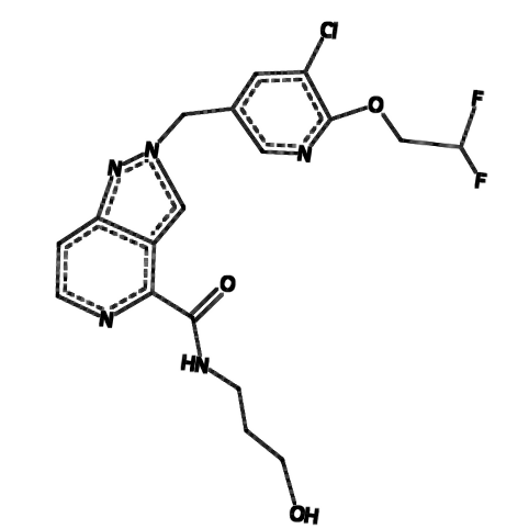 O=C(NCCCO)c1nccc2nn(Cc3cnc(OCC(F)F)c(Cl)c3)cc12